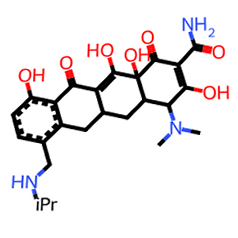 CC(C)NCc1ccc(O)c2c1CC1CC3C(N(C)C)C(O)=C(C(N)=O)C(=O)C3(O)C(O)=C1C2=O